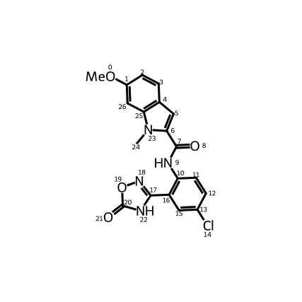 COc1ccc2cc(C(=O)Nc3ccc(Cl)cc3-c3noc(=O)[nH]3)n(C)c2c1